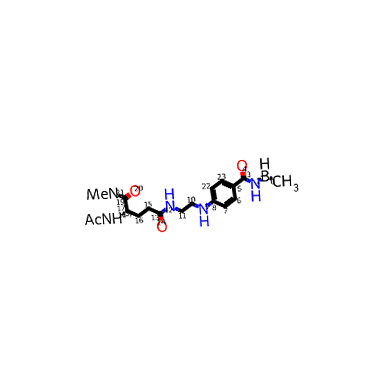 CBNC(=O)c1ccc(NCCNC(=O)CC[C@H](NC(C)=O)C(=O)NC)cc1